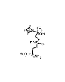 N=S(=O)(CC[C@H](N)C(=O)O)CCC(O)(C(F)(F)F)C12CC(C1)C2